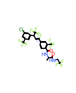 CC(NC(=O)c1ccc(/C(F)=C/C(c2cc(Cl)cc(C(F)(F)F)c2)C(F)(F)F)cc1C(F)(F)F)C(=O)NCC(F)(F)F